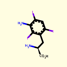 Nc1c(I)cc(I)c(C[C@H](N)C(=O)O)c1I